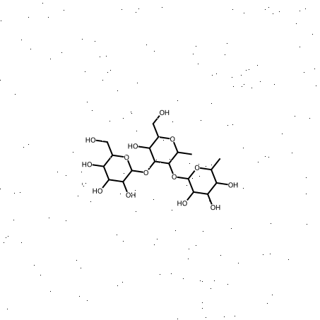 CC1OC(OC2C(C)OC(CO)C(O)C2OC2OC(CO)C(O)C(O)C2O)C(O)C(O)C1O